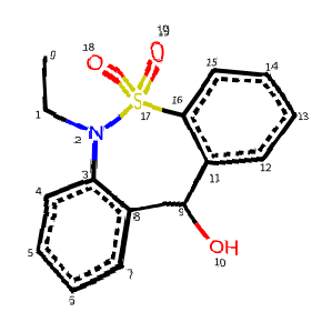 CCN1c2ccccc2C(O)c2ccccc2S1(=O)=O